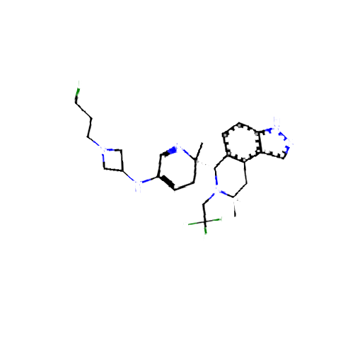 C[C@@H]1Cc2c(ccc3[nH]ncc23)[C@@H](C2(C)CC=C(NC3CN(CCCF)C3)C=N2)N1CC(F)(F)F